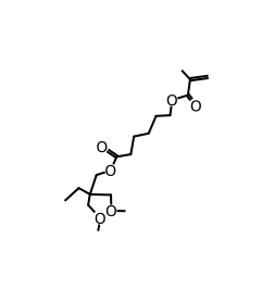 C=C(C)C(=O)OCCCCCC(=O)OCC(CC)(COC)COC